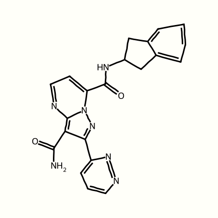 NC(=O)c1c(-c2cccnn2)nn2c(C(=O)NC3Cc4ccccc4C3)ccnc12